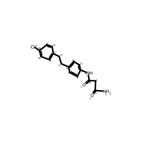 NC(=O)CC(=O)Nc1ccc(CCc2ccc(Cl)cc2)cc1